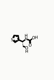 O=C(O)N[C@H](CO)c1ccsc1